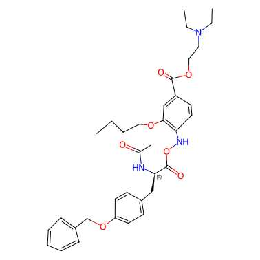 CCCCOc1cc(C(=O)OCCN(CC)CC)ccc1NOC(=O)[C@@H](Cc1ccc(OCc2ccccc2)cc1)NC(C)=O